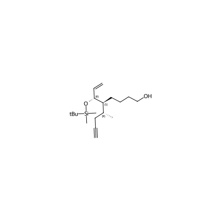 C#CC[C@@H](C)[C@H](CCCCO)[C@@H](C=C)O[Si](C)(C)C(C)(C)C